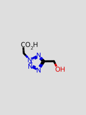 O=C(O)Cn1nnc(CO)n1